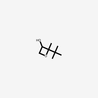 CC(C)(C)C1(C)OCC1O